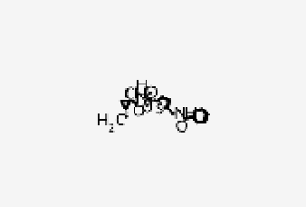 C=C[C@@H]1C[C@]1(C)C(=O)NS(=O)(=O)c1ccc(CNC(=O)c2ccccc2)s1